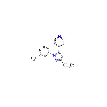 CCOC(=O)c1cc(-c2ccncc2)n(-c2cccc(C(F)(F)F)c2)n1